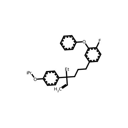 C=CC(CC)(CCCc1ccc(F)c(Oc2ccccc2)c1)c1ccc(OC(C)C)cc1